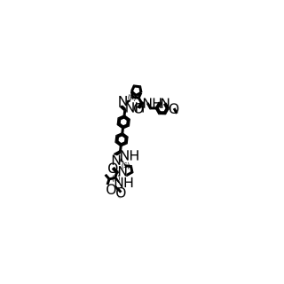 COC(=O)N[C@H](C(=O)N1CCC[C@H]1c1ncc(-c2ccc(-c3ccc(-c4cnc([C@@H]5C6CCC(C6)C5C(=O)NCc5ccc(OC)nc5)[nH]4)cc3)cc2)[nH]1)C(C)C